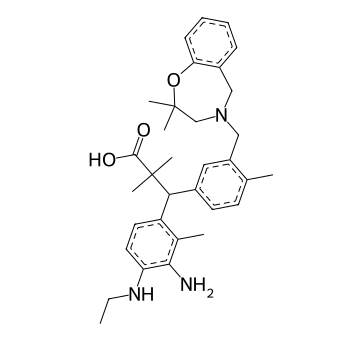 CCNc1ccc(C(c2ccc(C)c(CN3Cc4ccccc4OC(C)(C)C3)c2)C(C)(C)C(=O)O)c(C)c1N